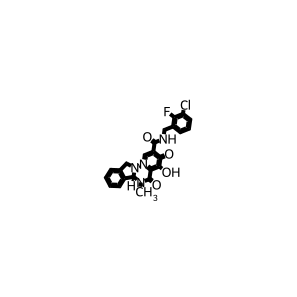 CN1C(=O)c2c(O)c(=O)c(C(=O)NCc3cccc(Cl)c3F)cn2N2Cc3ccccc3[C@@H]12